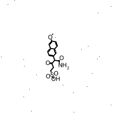 COc1ccc2cc(C(C(N)=O)C(=O)CCS(=O)(=O)O)ccc2c1